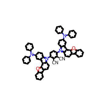 N#Cc1c(-n2c3ccc(N(c4ccccc4)c4ccccc4)cc3c3c4oc5ccccc5c4ccc32)ccc(-n2c3ccc(N(c4ccccc4)c4ccccc4)cc3c3c4oc5ccccc5c4ccc32)c1C#N